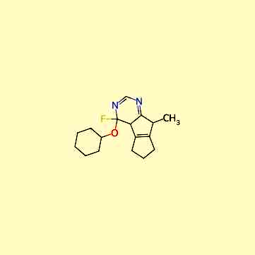 CC1C2=NC=NC(F)(OC3CCCCC3)C2C2=C1CCC2